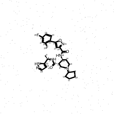 C[C@@H](NC(=O)[C@H]1CN(C2CCCC2)CC[C@@H]1NC(=O)c1cc(-c2ccc(F)cc2F)on1)c1ccn[nH]1